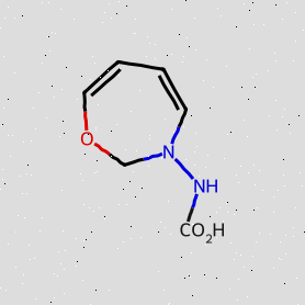 O=C(O)NN1C=CC=COC1